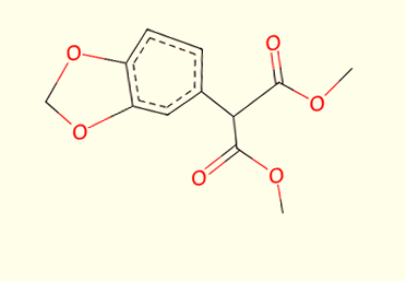 COC(=O)C(C(=O)OC)c1ccc2c(c1)OCO2